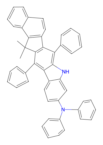 CC1(C)c2c(c(-c3ccccc3)c3[nH]c4cc(N(c5ccccc5)c5ccccc5)ccc4c3c2-c2ccccc2)-c2ccc3ccccc3c21